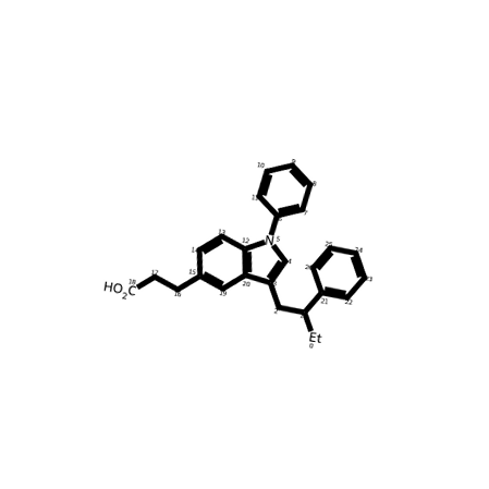 CCC(Cc1cn(-c2ccccc2)c2ccc(CCC(=O)O)cc12)c1ccccc1